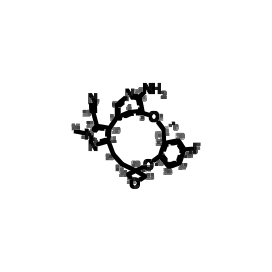 C[C@H]1Oc2cc(cnc2N)-c2c(nn(C)c2C#N)CCC2(COC2)Oc2ccc(F)cc21